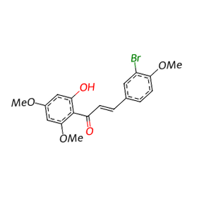 COc1cc(O)c(C(=O)/C=C/c2ccc(OC)c(Br)c2)c(OC)c1